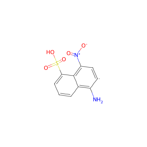 Nc1[c]cc([N+](=O)[O-])c2c(S(=O)(=O)O)cccc12